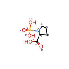 O=C(O)[C@@H]1CCCN1P(=O)(O)O